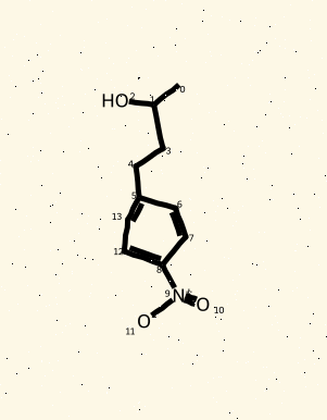 CC(O)CCc1ccc([N+](=O)[O-])cc1